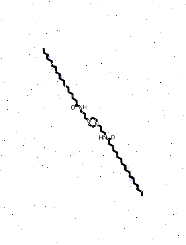 CC/C=C/C/C=C/C/C=C/CCCCCCCC(=O)NCCCN1CCN(CCCNC(=O)CCCCCCC/C=C/C/C=C/C/C=C/CC)CC1